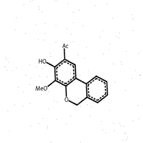 COc1c(O)c(C(C)=O)cc2c1OCc1ccccc1-2